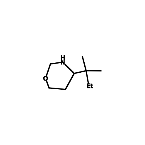 CCC(C)(C)C1CCOCN1